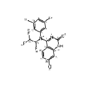 O=c1nc(N(c2cc(F)cc(I)c2)C(F)C(F)F)c2ccc(Cl)cc2[nH]1